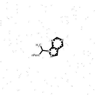 CCCCCC(C)n1ncc2cncnc21